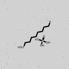 CCCCCCCCCCCCCCC[CH2][K].O=P(O)(O)O